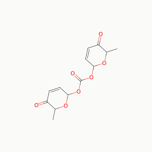 CC1OC(OC(=O)OC2C=CC(=O)C(C)O2)C=CC1=O